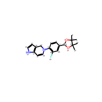 CC1(C)OB(c2ccc(N3C=Cc4[nH]ccc4C3)c(F)c2)OC1(C)C